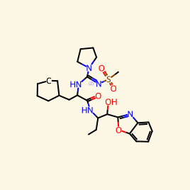 CCC(NC(=O)C(CC1CCCCC1)N/C(=N/S(C)(=O)=O)N1CCCC1)C(O)c1nc2ccccc2o1